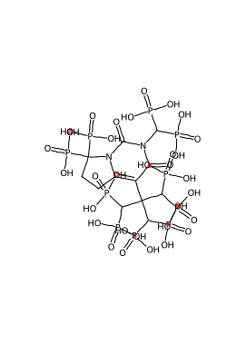 O=c1c(C(C(P(=O)(O)O)P(=O)(O)O)(C(P(=O)(O)O)P(=O)(O)O)C(P(=O)(O)O)P(=O)(O)O)c2n(c(=O)n1C(P(=O)(O)O)P(=O)(O)O)C(P(=O)(O)O)(P(=O)(O)O)CC2